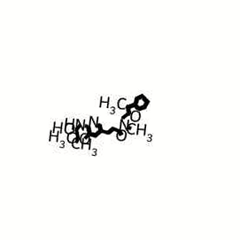 Cc1c(CN(C)C(=O)/C=C/c2cnc3c(c2)OC(C)(C)C(O)N3)oc2ccccc12